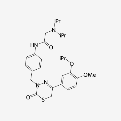 COc1ccc(C2=NN(Cc3ccc(NC(=O)CN(C(C)C)C(C)C)cc3)C(=O)SC2)cc1OC(C)C